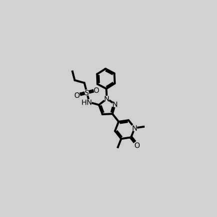 CCCS(=O)(=O)Nc1cc(-c2cc(C)c(=O)n(C)c2)nn1-c1ccccc1